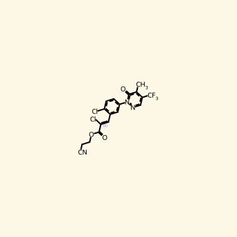 Cc1c(C(F)(F)F)cnn(-c2ccc(Cl)c(/C=C(\Cl)C(=O)OCCC#N)c2)c1=O